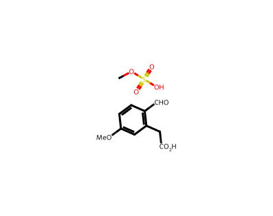 COS(=O)(=O)O.COc1ccc(C=O)c(CC(=O)O)c1